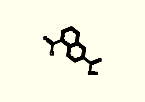 COC(=O)c1ccc2c(C(=O)Cl)cccc2c1